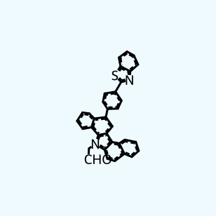 O=CCn1c2ccc3ccccc3c2c2cc(-c3ccc(-c4nc5ccccc5s4)cc3)c3ccccc3c21